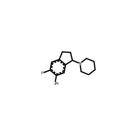 CC(C)c1cc2c(cc1F)CCC2N1CCCCC1